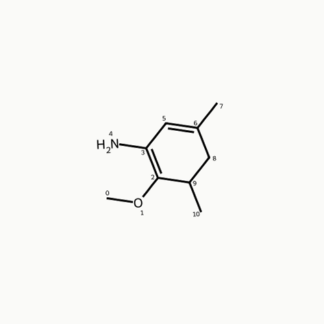 COC1=C(N)C=C(C)CC1C